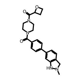 CN1Cc2ccc(-c3ccc(C(=O)N4CCN(C(=O)C5CCO5)CC4)cc3)cc2N1